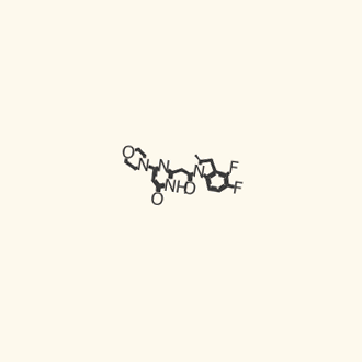 C[C@H]1Cc2c(ccc(F)c2F)N1C(=O)Cc1nc(N2CCOCC2)cc(=O)[nH]1